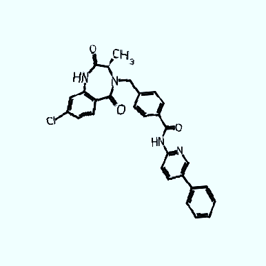 C[C@@H]1C(=O)Nc2cc(Cl)ccc2C(=O)N1Cc1ccc(C(=O)Nc2ccc(-c3ccccc3)cn2)cc1